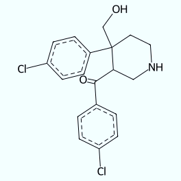 O=C(c1ccc(Cl)cc1)C1CNCCC1(CO)c1ccc(Cl)cc1